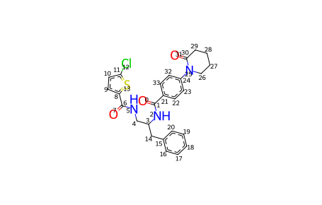 O=C(NC(CNC(=O)c1ccc(Cl)s1)Cc1ccccc1)c1ccc(N2CCCCC2=O)cc1